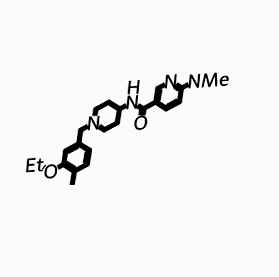 CCOc1cc(CN2CCC(NC(=O)c3ccc(NC)nc3)CC2)ccc1C